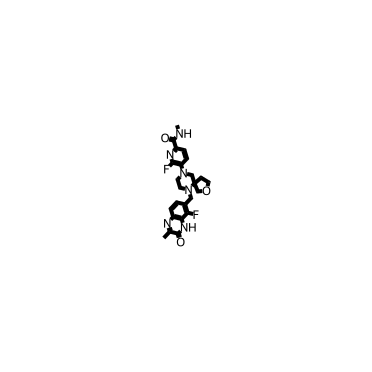 CNC(=O)c1ccc(N2CCN(Cc3ccc4nc(C)c(=O)[nH]c4c3F)C3(CCOC3)C2)c(F)n1